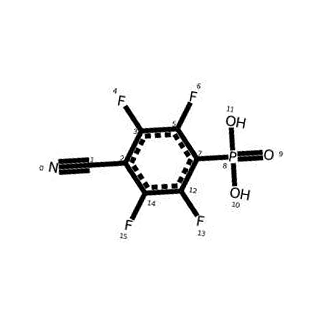 N#Cc1c(F)c(F)c(P(=O)(O)O)c(F)c1F